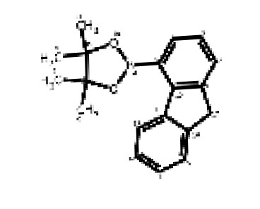 CC1(C)OB(c2cccc3c2-c2ccccc2C3)OC1(C)C